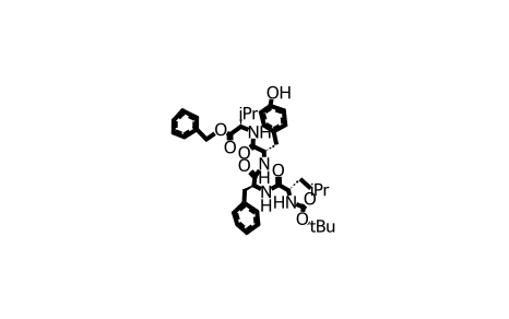 CC(C)C[C@H](NC(=O)OC(C)(C)C)C(=O)N[C@@H](Cc1ccccc1)C(=O)N[C@@H](Cc1ccc(O)cc1)C(=O)N[C@H](C(=O)OCc1ccccc1)C(C)C